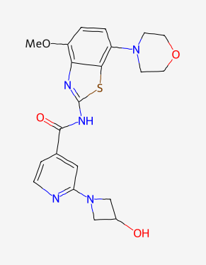 COc1ccc(N2CCOCC2)c2sc(NC(=O)c3ccnc(N4CC(O)C4)c3)nc12